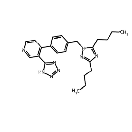 CCCCc1nc(CCCC)n(Cc2ccc(-c3ccncc3-c3nnn[nH]3)cc2)n1